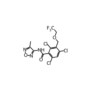 Cc1nonc1NC(=O)c1c(Cl)cc(Cl)c(COCC(F)(F)F)c1Cl